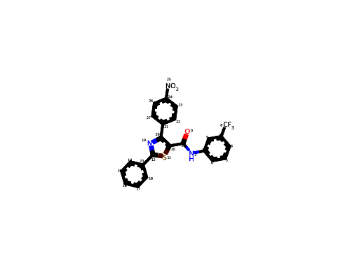 O=C(Nc1cccc(C(F)(F)F)c1)c1sc(-c2ccccc2)nc1-c1ccc([N+](=O)[O-])cc1